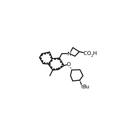 Cc1cc(O[C@H]2CC[C@H](C(C)(C)C)CC2)c(CN2CC(C(=O)O)C2)c2ccccc12